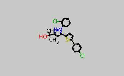 CC(C)(O)c1cc(-c2ccc(-c3ccc(Cl)cc3)s2)n(-c2ccccc2Cl)n1